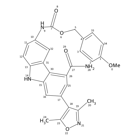 COc1ccc(COC(=O)Nc2ccc3[nH]c4cc(-c5c(C)noc5C)cc(C(N)=O)c4c3c2)cc1